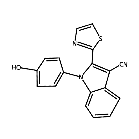 N#Cc1c(-c2nccs2)n(-c2ccc(O)cc2)c2ccccc12